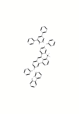 CC1(C)c2cc(N(c3ccccc3)c3cc(-c4ccccc4)cc(-c4ccccc4)c3F)ccc2-c2cc3ccc(N(c4ccccc4)c4cccc5c4oc4ccccc45)cc3c3cccc1c23